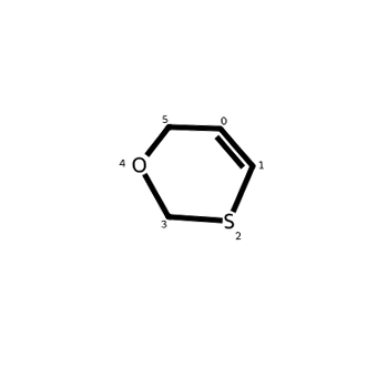 C1=CSCOC1